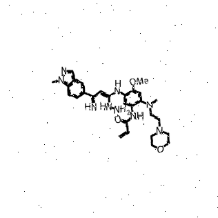 C=CC(=O)Nc1cc(N/C(=C/C(=N)c2ccc3c(cnn3C)c2)NN)c(OC)cc1N(C)CCN1CCOCC1